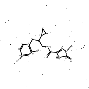 Cn1nc(C(=O)NCC(Cc2ccc(F)cc2F)C2CC2)[nH]c1=O